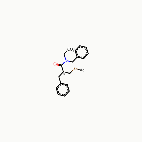 CC(=O)SC[C@@H](Cc1ccccc1)C(=O)N(CC(=O)O)Cc1ccccc1